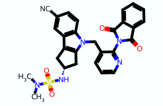 CN(C)S(=O)(=O)N[C@@H]1Cc2c(n(Cc3cccnc3N3C(=O)c4ccccc4C3=O)c3ccc(C#N)cc23)C1